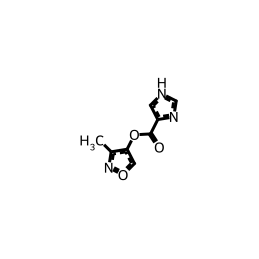 Cc1nocc1OC(=O)c1c[nH]cn1